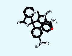 CCCn1c(C)c(C2(c3ccc(N(CC)CC)cc3CC(N)=O)OC(=O)c3cccnc32)c2ccccc21